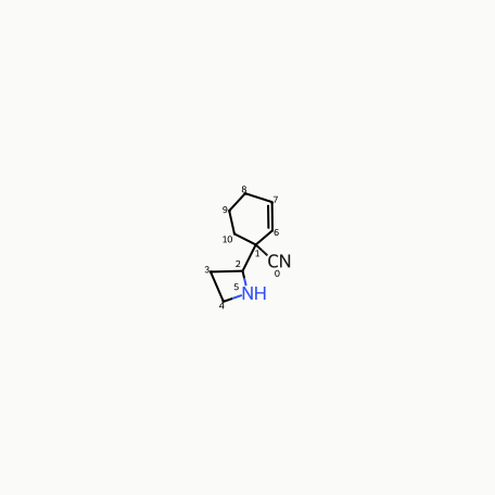 N#CC1(C2CCN2)C=CCCC1